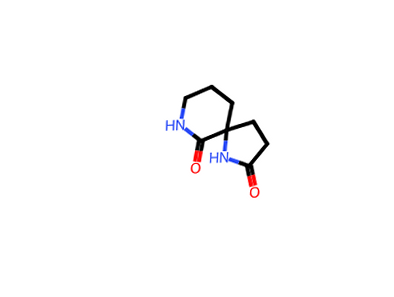 O=C1CCC2(CCCNC2=O)N1